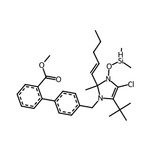 CCCC=CC1(C)N(Cc2ccc(-c3ccccc3C(=O)OC)cc2)C(C(C)(C)C)=C(Cl)N1O[SiH](C)C